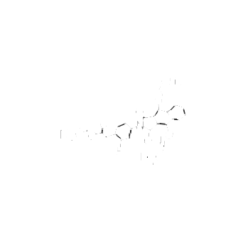 CCCOc1c2c(c(OCCC)c3ccccc13)C(O)N(c1ccc(CC(=O)OCC)c(F)c1)C2=O